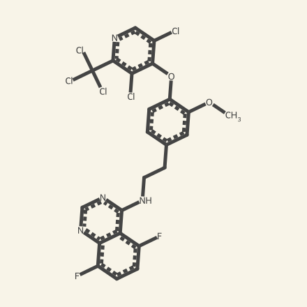 COc1cc(CCNc2ncnc3c(F)ccc(F)c23)ccc1Oc1c(Cl)cnc(C(Cl)(Cl)Cl)c1Cl